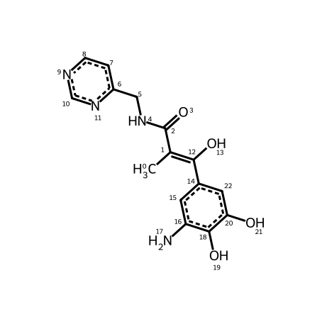 C/C(C(=O)NCc1ccncn1)=C(/O)c1cc(N)c(O)c(O)c1